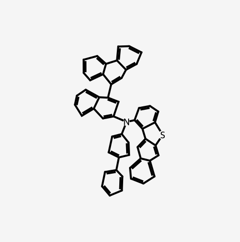 c1ccc(-c2ccc(N(c3cc(-c4cc5ccccc5c5ccccc45)c4ccccc4c3)c3cccc4sc5cc6ccccc6cc5c34)cc2)cc1